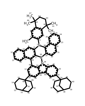 Cc1cc2c(cc1N1c3cc4ccccc4c4c3B(c3ccc5ccccc5c31)n1c3ccc(C56CCCC(CCC5)C6)cc3c3cc(C56CCCC(CCC5)C6)cc-4c31)C(C)(C)CCC2(C)C